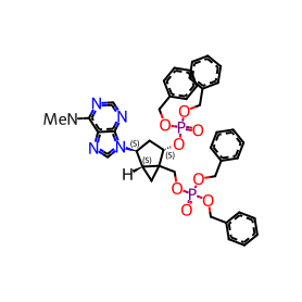 CNc1ncnc2c1ncn2[C@H]1C[C@H](OP(=O)(OCc2ccccc2)OCc2ccccc2)C2(COP(=O)(OCc3ccccc3)OCc3ccccc3)C[C@H]12